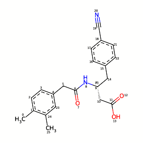 Cc1ccc(CC(=O)N[C@@H](CC(=O)O)Cc2ccc(C#N)cc2)cc1C